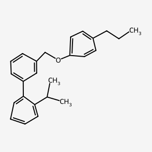 CCCc1ccc(OCc2cccc(-c3ccccc3C(C)C)c2)cc1